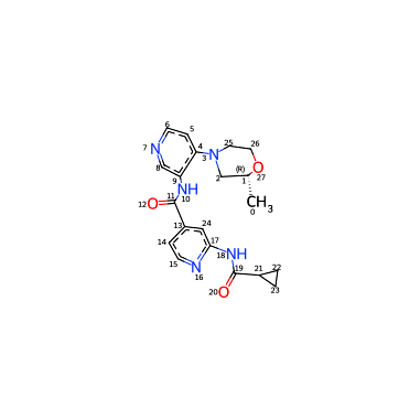 C[C@@H]1CN(c2ccncc2NC(=O)c2ccnc(NC(=O)C3CC3)c2)CCO1